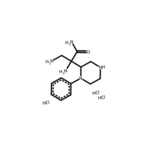 Cl.Cl.Cl.NCC(N)(C(N)=O)C1CNCCN1c1ccccc1